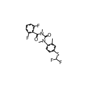 Cc1cc(SC(F)F)ccc1N(C)C(=O)N(C)C(=O)c1c(F)cccc1F